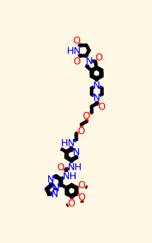 COc1cc(-c2c(NC(=O)Nc3cnc(NCCOCCOCCC(=O)N4CCN(c5ccc6c(c5)CN(C5CCC(=O)NC5=O)C6=O)CC4)c(C)c3)cnc3ccnn23)cc(OC)c1OC